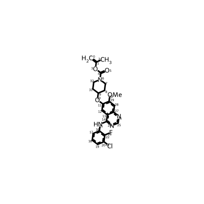 C=C(C)OC(=O)N1CCC(Oc2cc3c(Nc4cccc(Cl)c4F)ncnc3cc2OC)CC1